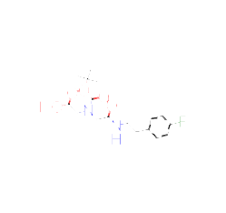 CC(C)(C)OC(=O)N(CC(=O)O)CC(=O)NCCc1ccc(F)cc1